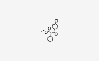 CCOC(=O)C(C(=O)c1ccc(Cl)cc1)c1ccccc1